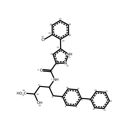 O=C(NC(Cc1ccc(-c2ccccc2)cc1)CC(O)C(=O)O)c1cc(-c2ccccc2Cl)[nH]n1